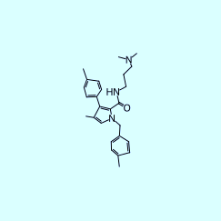 Cc1ccc(Cn2cc(C)c(-c3ccc(C)cc3)c2C(=O)NCCCN(C)C)cc1